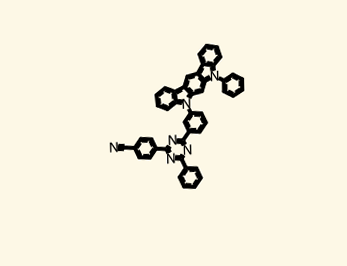 N#Cc1ccc(-c2nc(-c3ccccc3)nc(-c3cccc(-n4c5ccccc5c5cc6c7ccccc7n(-c7ccccc7)c6cc54)c3)n2)cc1